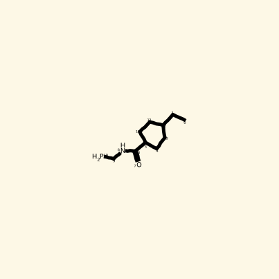 CCC1CCC(C(=O)NCP)CC1